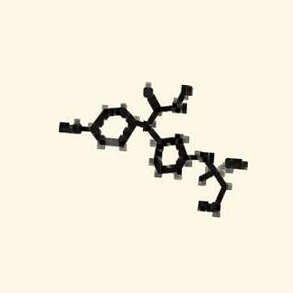 CCNC(=O)N(c1ccc(OC)cc1)c1ccnc(N[C@](C)(COC)OC)n1